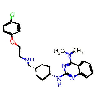 CN(C)c1nc(N[C@H]2CC[C@@H](CNCCOc3ccc(Cl)cc3)CC2)nc2ccccc12